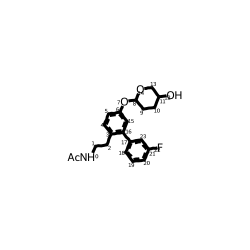 CC(=O)NCCc1ccc(OC2CCC(O)CO2)cc1-c1cccc(F)c1